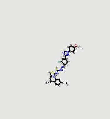 Cc1ccc2c(c1)N1C(=CC2C)CS/C1=N\C(=S)N/N=C/c1ccc(-c2ncn(-c3ccc(OC(F)(F)F)cc3)n2)cc1F